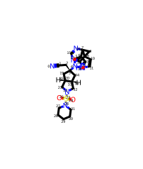 N#CC[C@]1(n2cc(C34CC35C=CNC5=NC=N4)cn2)C[C@H]2CN(S(=O)(=O)N3CCCCC3)C[C@H]2C1